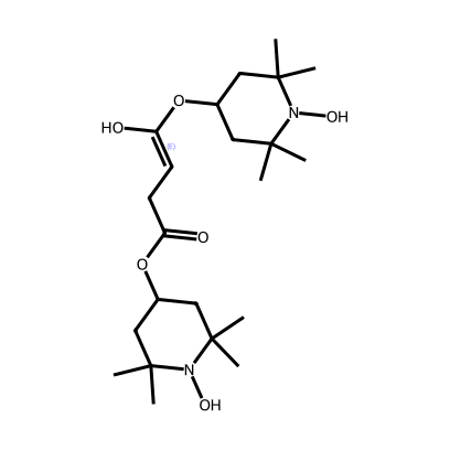 CC1(C)CC(OC(=O)C/C=C(\O)OC2CC(C)(C)N(O)C(C)(C)C2)CC(C)(C)N1O